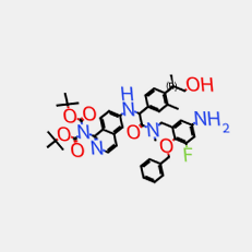 Cc1cc(C(Nc2ccc3c(N(C(=O)OC(C)(C)C)C(=O)OC(C)(C)C)nccc3c2)C(=O)N(C)Cc2cc(N)cc(F)c2OCc2ccccc2)ccc1[C@@H](C)CO